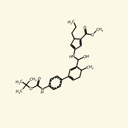 CCCC1C=C(NC(O)C2=CC(c3ccc(NC(=O)OC(C)(C)C)cc3)=CCC2C)C=C1C(=O)OC